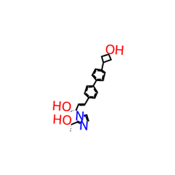 C[C@H](O)c1nccn1[C@@H](/C=C/c1ccc(-c2ccc(C3CC(O)C3)cc2)cc1)CO